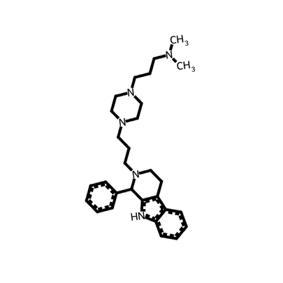 CN(C)CCCN1CCN(CCCN2CCc3c([nH]c4ccccc34)C2c2ccccc2)CC1